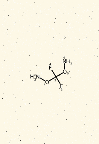 NOC(F)(F)ON